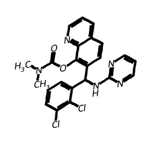 CN(C)C(=O)Oc1c(C(Nc2ncccn2)c2cccc(Cl)c2Cl)ccc2cccnc12